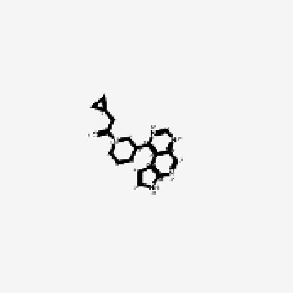 O=C(CC1CC1)N1CCCC(c2ncnc3cnc4[nH]ccc4c23)C1